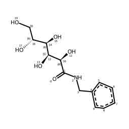 O=C(NCc1ccccc1)[C@H](O)[C@@H](O)[C@H](O)[C@H](O)CO